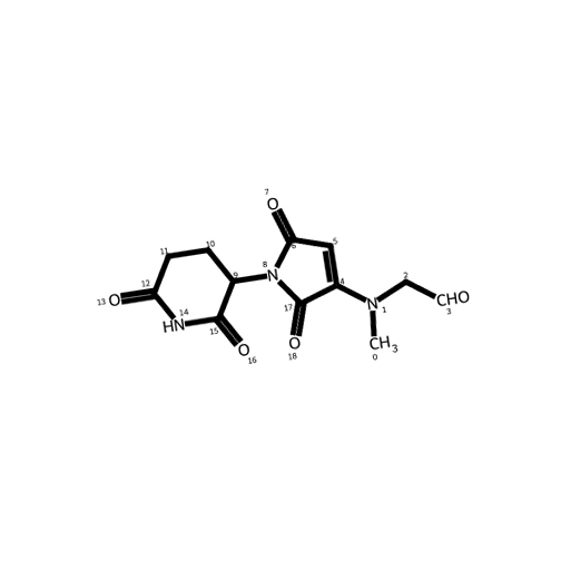 CN(CC=O)C1=CC(=O)N(C2CCC(=O)NC2=O)C1=O